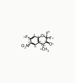 CN1C(=O)C(F)(F)Oc2cc(F)c([N+](=O)[O-])cc21